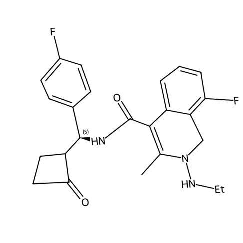 CCNN1Cc2c(F)cccc2C(C(=O)N[C@H](c2ccc(F)cc2)C2CCC2=O)=C1C